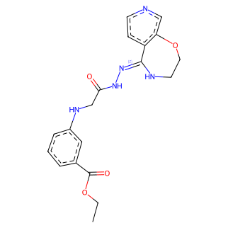 CCOC(=O)c1cccc(NCC(=O)N/N=C2\NCCOc3cnccc32)c1